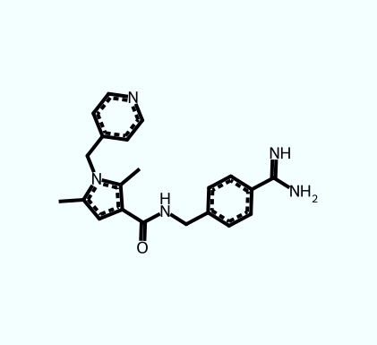 Cc1cc(C(=O)NCc2ccc(C(=N)N)cc2)c(C)n1Cc1ccncc1